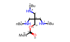 CCCCNCC(CNCCCC)(CNCCCC)COC(=O)NC